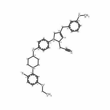 CCOc1ccc(F)c(N2CCC(Oc3ccc(N4CC(Cc5cccc(OC)c5)=CC4CC#N)cc3)CC2)c1